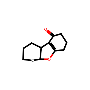 O=C1CCCC2=C1C1CCCCC1O2